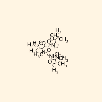 CC[C@H](C)C([C@@H](CC(=O)N1CCC[C@H]1[C@H](OC)C(C)C)OC)N(C)C(=O)CNC(=O)C(C(C)C)N(C)C